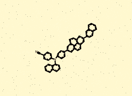 N#Cc1ccc(N(c2ccc(-c3cc4ccc5cc(-c6ccc7ccccc7c6)cc6ccc(c3)c4c56)cc2)c2cccc3ccccc23)cc1